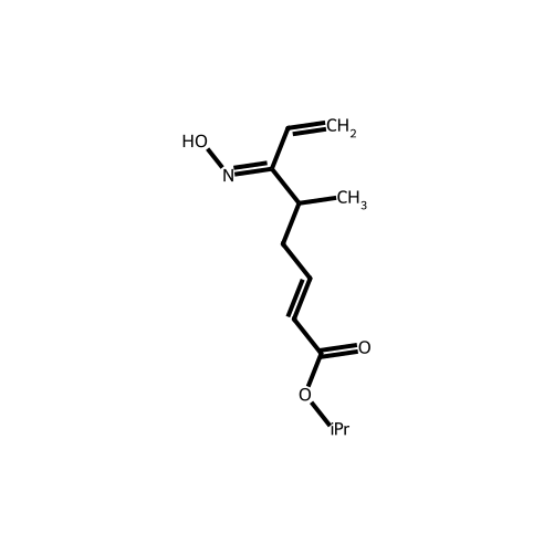 C=C/C(=N\O)C(C)C/C=C/C(=O)OC(C)C